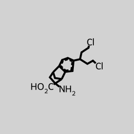 NC1(C(=O)O)CC2CC1c1cc(C(CCCl)CCCl)ccc12